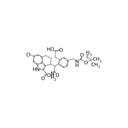 CC(C)(C)OC(=O)NCc1ccc(C(C(N)=O)C2CCc3cc(Cl)cc4[nH]c(C(=O)O)c2c34)c(CC(=O)O)c1